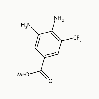 COC(=O)c1cc(N)c(N)c(C(F)(F)F)c1